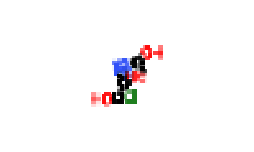 OCc1cc(CO)cc(Nc2ncc3cc(-c4cc(O)ccc4Cl)ccc3n2)c1